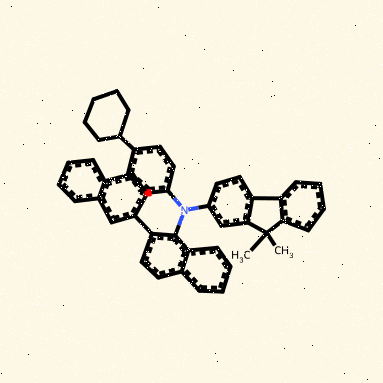 CC1(C)c2ccccc2-c2ccc(N(c3ccc(C4CCCCC4)cc3)c3c(-c4ccc5ccccc5c4)ccc4ccccc34)cc21